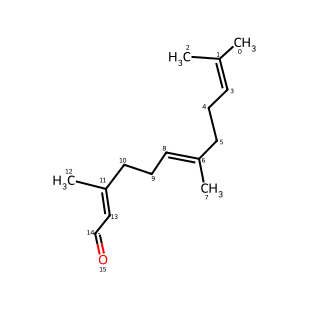 CC(C)=CCCC(C)=CCCC(C)=C[C]=O